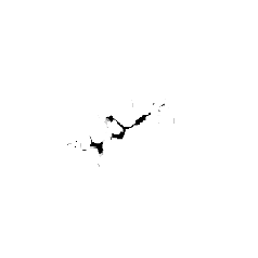 C[Si](C)(C)C#Cc1cnn(C(=O)O)c1